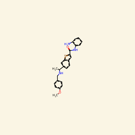 COc1ccc(CNC(C)c2ccc3cc(C(=O)Nc4ccccc4N)sc3c2)cc1